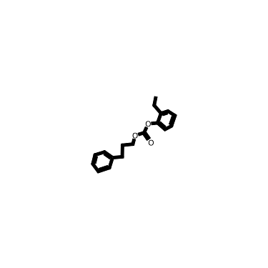 CCc1ccccc1OC(=O)OCCCc1ccccc1